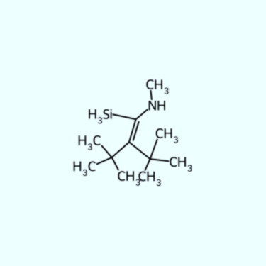 CNC([SiH3])=C(C(C)(C)C)C(C)(C)C